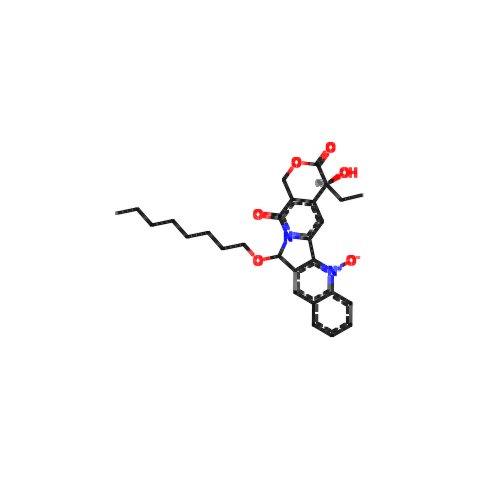 CCCCCCCCOC1c2cc3ccccc3[n+]([O-])c2-c2cc3c(c(=O)n21)COC(=O)[C@]3(O)CC